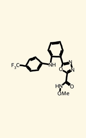 CONC(=O)c1nnc(-c2ccccc2Nc2ccc(C(F)(F)F)cc2)o1